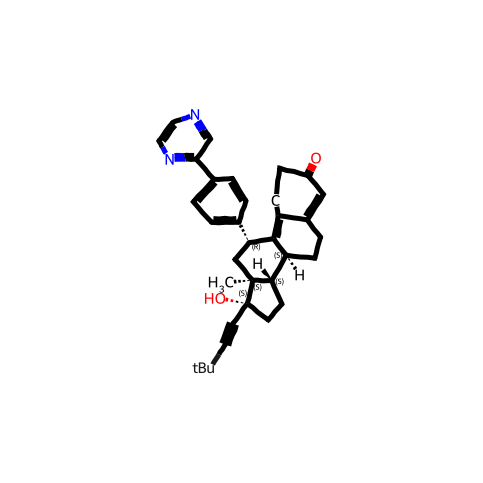 CC(C)(C)C#C[C@]1(O)CC[C@H]2[C@@H]3CCC4=CC(=O)CCC4=C3[C@@H](c3ccc(-c4cnccn4)cc3)C[C@@]21C